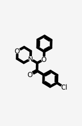 O=C(c1ccc(Cl)cc1)C(Oc1ccccc1)N1CCOCC1